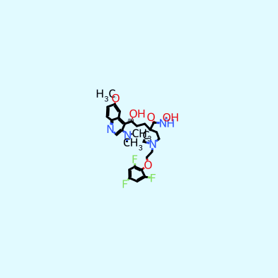 COc1ccc2ncc(N(C)C)c([C@H](O)CCC3(C(=O)NO)CCN(CCOc4c(F)cc(F)cc4F)CC3)c2c1